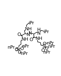 CCCO[Si](CCCNC(=O)C(CNCC(C)C)N=NC(CNCC(C)C)C(=O)NCCC[Si](OCCC)(OCCC)OCCC)(OCCC)OCCC